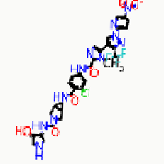 Cn1c(-c2cn(-c3ccc([N+](=O)[O-])cn3)nc2C(F)(F)F)cnc1C(=O)Nc1ccc(C(=O)NC2C3CN(C(=O)N[C@@H]4CNC[C@H]4O)CC32)c(Cl)c1